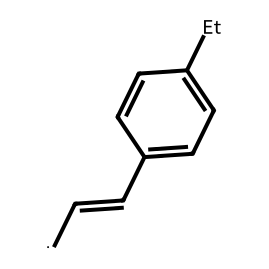 [CH2]/C=C/c1ccc(CC)cc1